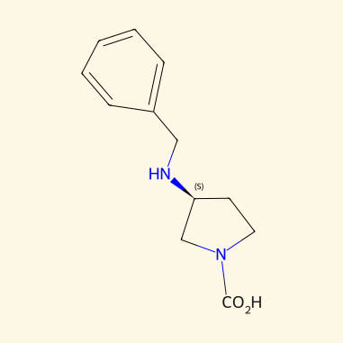 O=C(O)N1CC[C@H](NCc2ccccc2)C1